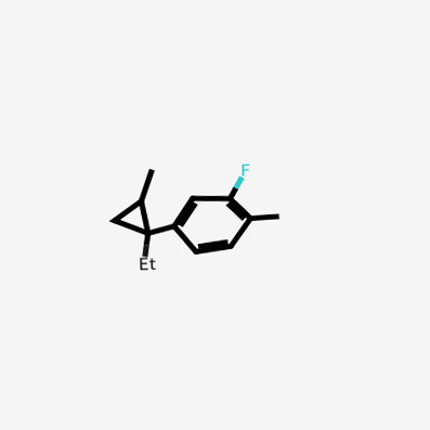 CCC1(c2ccc(C)c(F)c2)CC1C